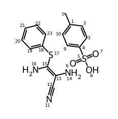 Cc1ccc(S(=O)(=O)O)cc1.N#C/C(N)=C(\N)Sc1ccccc1